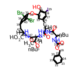 CCCCOC(C)[C@@H]1NC(=O)[C@@H](NC(=O)C(CCCC)NC(=O)OCc2ccccc2)Cc2cc(I)c(O)c(c2)Oc2c(Br)cc(cc2Br)C[C@@H](C(=O)O)NC1=O